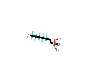 CCO[Si](CC)(CCC(F)(F)C(F)(F)C(F)(F)C(F)(F)C(F)(F)C(F)(F)F)OCC